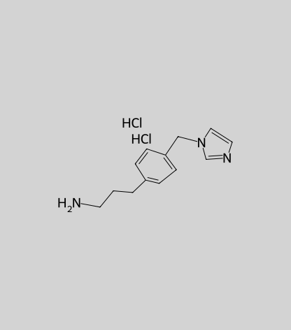 Cl.Cl.NCCCc1ccc(Cn2ccnc2)cc1